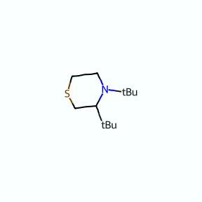 CC(C)(C)C1CSCCN1C(C)(C)C